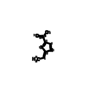 CC=C1N=CC([N+](=O)[O-])=N1